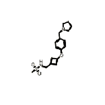 CS(=O)(=O)NCC1CC(Oc2ccc(CN3CCCC3)cc2)C1